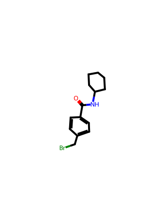 O=C(NC1CCCCC1)c1ccc(CBr)cc1